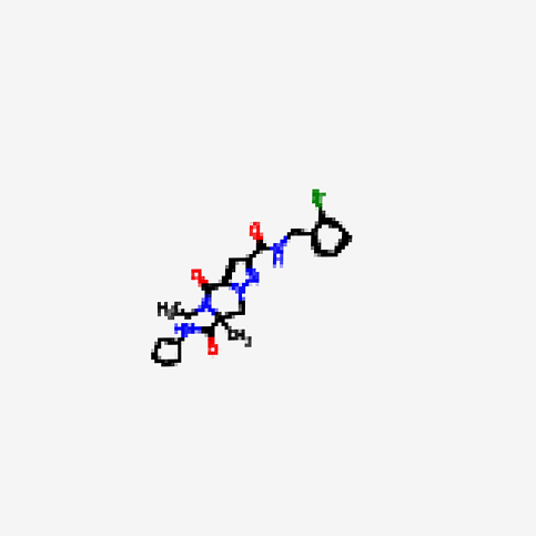 CCN1C(=O)c2cc(C(=O)NCc3ccccc3Br)nn2CC1(C)C(=O)NC1CCCC1